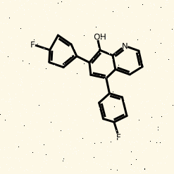 Oc1c(-c2ccc(F)cc2)cc(-c2ccc(F)cc2)c2cccnc12